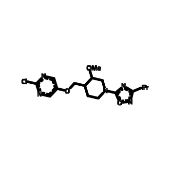 COC1CN(c2nc(C(C)C)no2)CCC1COc1cnc(Cl)nc1